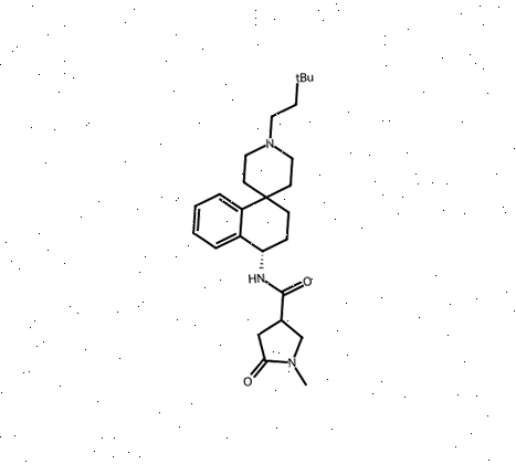 CN1CC(C(=O)N[C@H]2CCC3(CCN(CCC(C)(C)C)CC3)c3ccccc32)CC1=O